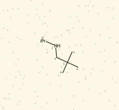 [CH2]C(C)NCC(C)(C)C